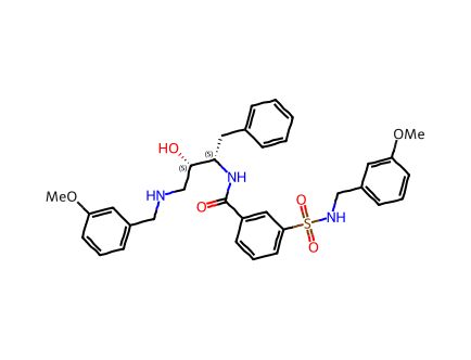 COc1cccc(CNC[C@H](O)[C@H](Cc2ccccc2)NC(=O)c2cccc(S(=O)(=O)NCc3cccc(OC)c3)c2)c1